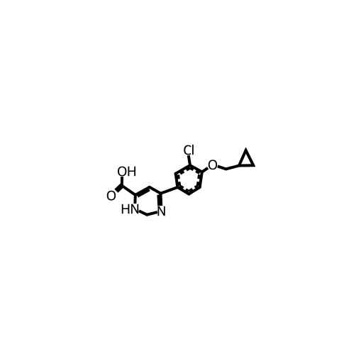 O=C(O)C1=CC(c2ccc(OCC3CC3)c(Cl)c2)=NCN1